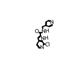 O=C(NCc1ccncc1)c1cc2ccnc(Cl)c2[nH]1